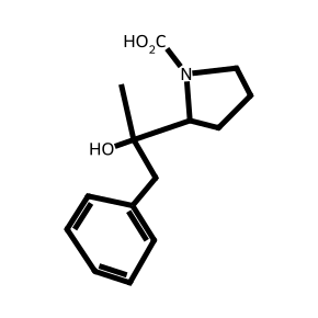 CC(O)(Cc1ccccc1)C1CCCN1C(=O)O